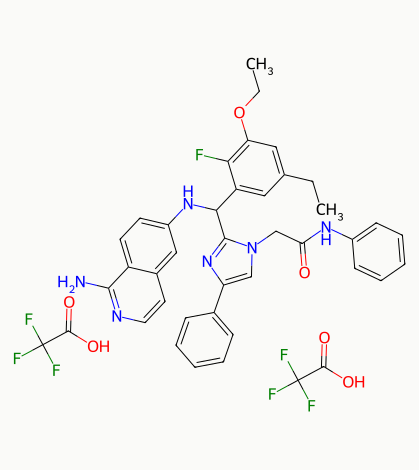 CCOc1cc(CC)cc(C(Nc2ccc3c(N)nccc3c2)c2nc(-c3ccccc3)cn2CC(=O)Nc2ccccc2)c1F.O=C(O)C(F)(F)F.O=C(O)C(F)(F)F